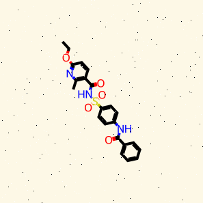 CCOc1ccc(C(=O)NS(=O)(=O)c2ccc(NC(=O)c3ccccc3)cc2)c(C)n1